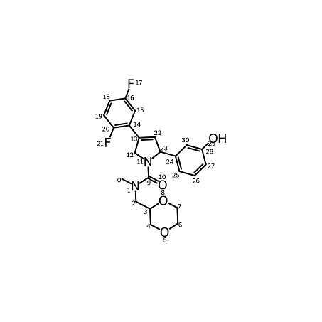 CN(CC1COCCO1)C(=O)N1CC(c2cc(F)ccc2F)=CC1c1cccc(O)c1